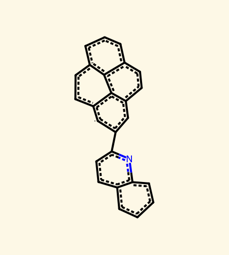 [c]1c(-c2ccc3ccccc3n2)cc2ccc3cccc4ccc1c2c43